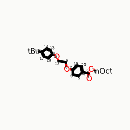 CCCCCCCCOC(=O)c1ccc(OCCOc2ccc(C(C)(C)C)cc2)cc1